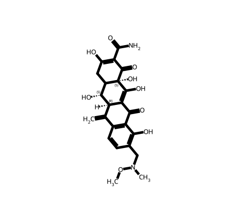 C=C1c2ccc(CN(C)OC)c(O)c2C(=O)C2=C(O)[C@]3(O)C(=O)C(C(N)=O)=C(O)CC3[C@@H](O)[C@H]12